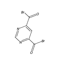 O=C(Br)c1cc(C(=O)Br)ncn1